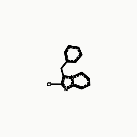 Clc1nc2ccccn2c1Cc1ccccc1